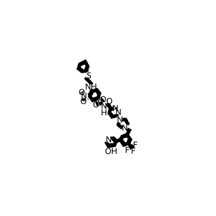 O=C(NS(=O)(=O)c1ccc(NCCSc2ccccc2)c([N+](=O)[O-])c1)c1ccc(N2CCN(Cc3cc(-c4cncc(O)c4)cc(C(F)(F)F)c3)CC2)nn1